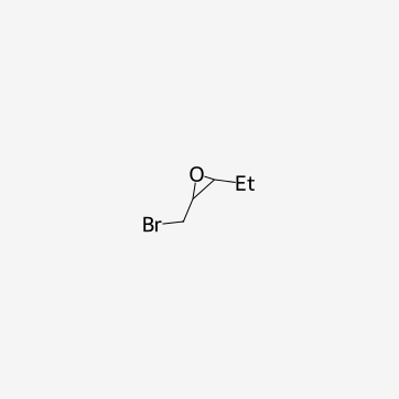 CCC1OC1CBr